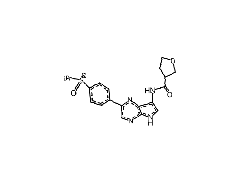 CC(C)S(=O)(=O)c1ccc(-c2cnc3[nH]cc(NC(=O)C4CCOC4)c3n2)cc1